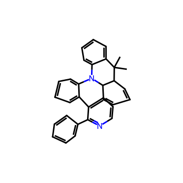 CC1(C)c2ccccc2N(c2ccccc2-c2cccnc2-c2ccccc2)C2C=CC=CC21